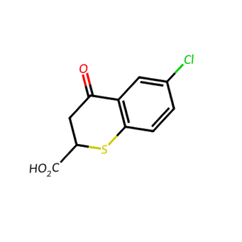 O=C1CC(C(=O)O)Sc2ccc(Cl)cc21